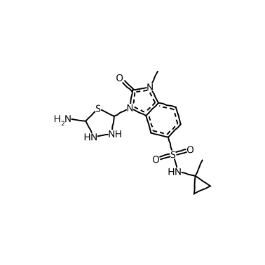 Cn1c(=O)n(C2NNC(N)S2)c2cc(S(=O)(=O)NC3(C)CC3)ccc21